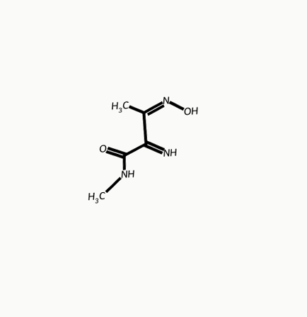 CNC(=O)C(=N)/C(C)=N\O